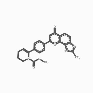 CC(C)(C)OC(=O)N1CCCC=C1c1ccc(-c2cc(=O)c3ccc4nc(C(F)(F)F)[nH]c4c3o2)cc1